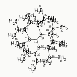 BB(B)B(B(B)B)B(B(B)B)C(B(B(B(B)B)B(B)B)B(B(B)B)B(B)B)B(B(B(B)B)B(B)B)B(B(B)B)B(B)B